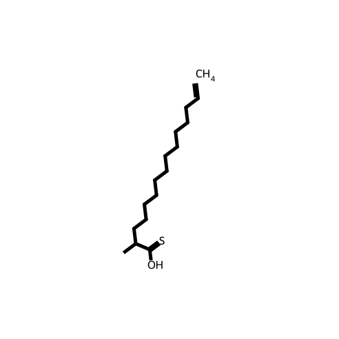 C.C=CCCCCCCCCCCCC(C)C(O)=S